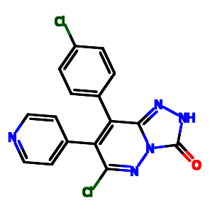 O=c1[nH]nc2c(-c3ccc(Cl)cc3)c(-c3ccncc3)c(Cl)nn12